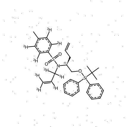 [2H]C([2H])=C([2H])C([2H])([2H])N([C@@H](CC=C)CO[Si](c1ccccc1)(c1ccccc1)C(C)(C)C)S(=O)(=O)c1c([2H])c([2H])c(C)c([2H])c1[2H]